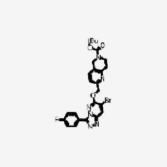 CC(C)(C)OC(=O)N1CCc2nc(COc3nn4c(-c5ccc(F)cc5)nnc4cc3Br)ccc2C1